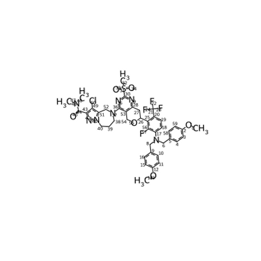 COc1ccc(CN(Cc2ccc(OC)cc2)c2ccc(C(F)(F)F)c(C3Cc4nc(S(C)(=O)=O)nc(N5CCCn6nc(C(=O)N(C)C)c(Cl)c6C5)c4CO3)c2F)cc1